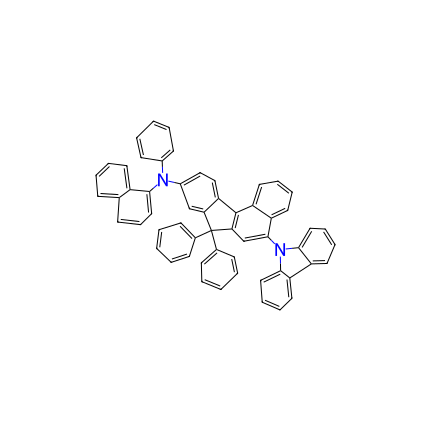 c1ccc(N(c2ccc3c(c2)C(c2ccccc2)(c2ccccc2)c2cc(-n4c5ccccc5c5ccccc54)c4ccccc4c2-3)c2cccc3ccccc23)cc1